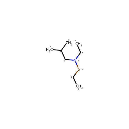 CCSN(CC)CC(C)C